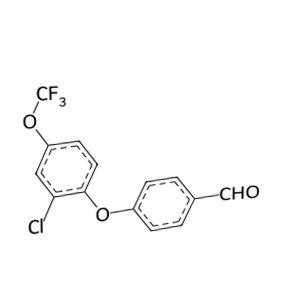 O=Cc1ccc(Oc2ccc(OC(F)(F)F)cc2Cl)cc1